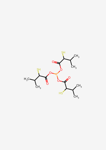 CC(C)C(S)C(=O)OP(OC(=O)C(S)C(C)C)OC(=O)C(S)C(C)C